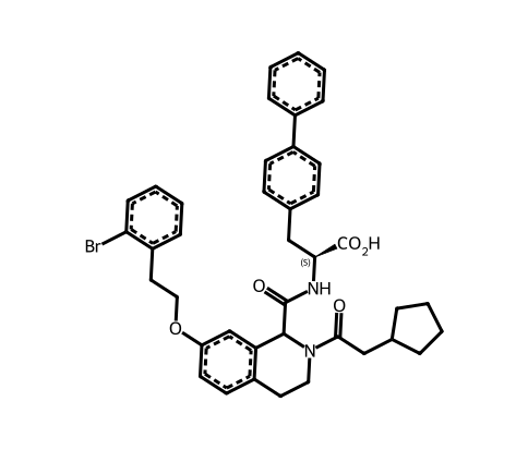 O=C(N[C@@H](Cc1ccc(-c2ccccc2)cc1)C(=O)O)C1c2cc(OCCc3ccccc3Br)ccc2CCN1C(=O)CC1CCCC1